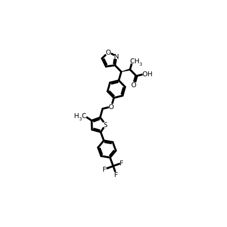 Cc1cc(-c2ccc(C(F)(F)F)cc2)sc1COc1ccc([C@@H](c2ccon2)C(C)C(=O)O)cc1